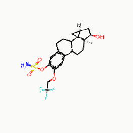 C[C@]12CCC3c4cc(OCC(F)(F)F)c(OS(N)(=O)=O)cc4CCC3[C@@]13C[C@H]3C[C@H]2O